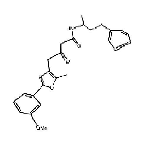 COc1cccc(-c2nc(CC(=O)CC(=O)NC(C)CCc3ccccc3)c(C)o2)c1